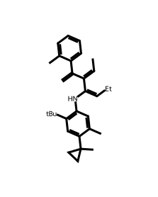 C=C(C(=C\C)/C(=C\CC)Nc1cc(C)c(C2(C)CC2)cc1C(C)(C)C)c1ccccc1C